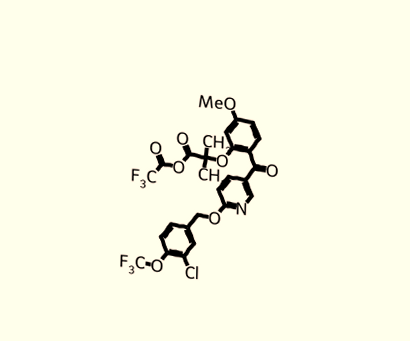 COc1ccc(C(=O)c2ccc(OCc3ccc(OC(F)(F)F)c(Cl)c3)nc2)c(OC(C)(C)C(=O)OC(=O)C(F)(F)F)c1